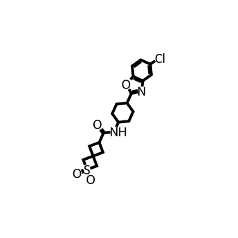 O=C(NC1CCC(c2nc3cc(Cl)ccc3o2)CC1)C1CC2(C1)CS(=O)(=O)C2